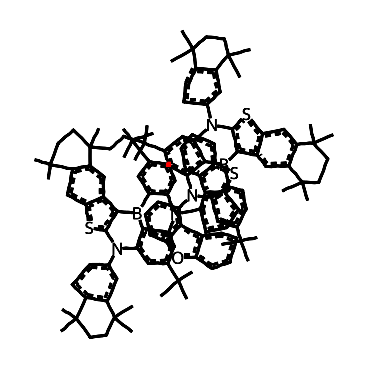 CC(C)(C)c1ccc2c(c1)B1c3c(cc(C(C)(C)C)cc3N2c2cccc3sc4ccccc4c23)N(c2ccc3c(c2)C(C)(C)CCC3(C)C)c2sc3cc4c(cc3c21)C(C)(CCC(C)(C)c1cc2c3c(c1)N(c1cccc5oc6ccccc6c15)c1cc(C(C)(C)C)ccc1B3c1c(sc3cc5c(cc13)C(C)(C)CCC5(C)C)N2c1ccc2c(c1)C(C)(C)CCC2(C)C)CCC4(C)C